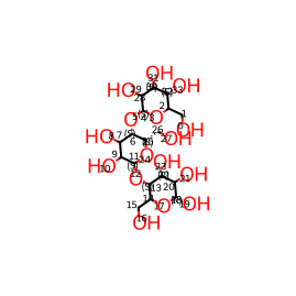 OCC1O[C@@H](O[C@H]2C(O)C(O)[C@H](O[C@@H]3C(CO)O[C@@H](O)C(O)[C@H]3O)O[C@H]2CO)C(O)[C@@H](O)[C@@H]1O